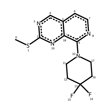 CSc1ncc2ccnc(N3CCC(F)(F)CC3)c2n1